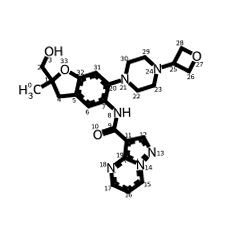 CC1(CO)Cc2cc(NC(=O)c3cnn4cccnc34)c(N3CCN(C4COC4)CC3)cc2O1